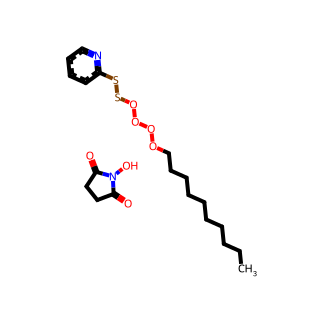 CCCCCCCCCCOOOOSSc1ccccn1.O=C1CCC(=O)N1O